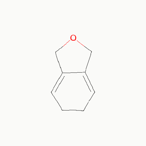 C1=C2COCC2=CCC1